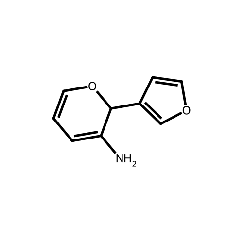 NC1=CC=COC1c1ccoc1